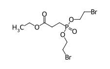 CCOC(=O)CCP(=O)(OCCBr)OCCBr